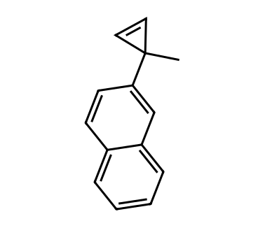 CC1(c2ccc3ccccc3c2)C=C1